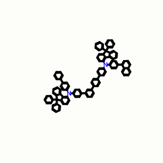 c1ccc(-c2ccc(N(c3ccc(-c4cccc(-c5ccc(-c6ccc(N(c7ccc(-c8cccc9ccccc89)cc7)c7cccc8c7-c7ccccc7C8(c7ccccc7)c7ccccc7)cc6)cc5)c4)cc3)c3cccc4c3-c3ccccc3C4(c3ccccc3)c3ccccc3)cc2)cc1